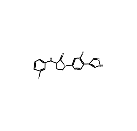 O=C1C(Nc2cccc(F)c2)CCN1c1ccc(-c2cn[nH]c2)c(F)c1